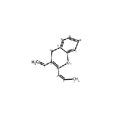 C=CC1=C(/C=C\C)Oc2ccccc2C1